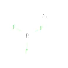 CC(C)=O.FB(F)F